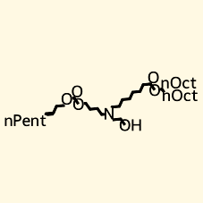 CCCCCC=CCCOC(=O)OCCCCN(CCO)CCCCCCCC(=O)OC(CCCCCCCC)CCCCCCCC